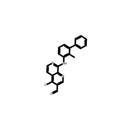 Cc1c(Nc2nccc3c(Cl)c(C=O)cnc23)cccc1-c1ccccc1